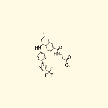 CCCC(Nc1ccc(-n2cc(C(F)(F)F)cn2)nc1)c1ccc(C(=O)NCCC(=O)OC)cc1C